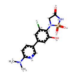 CN(C)c1ccc(-c2cc(O)c(N3CC(=O)NS3(=O)=O)c(F)c2)cn1